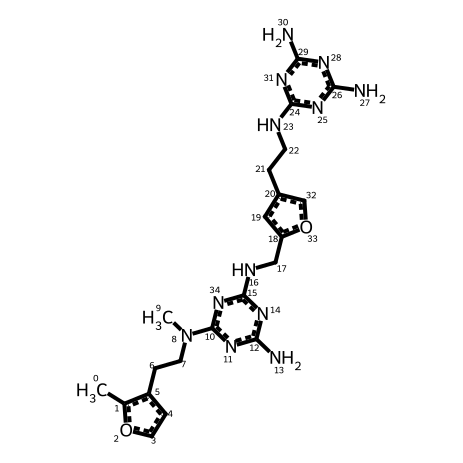 Cc1occc1CCN(C)c1nc(N)nc(NCc2cc(CCNc3nc(N)nc(N)n3)co2)n1